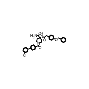 NC(=O)C1(NC(=O)Cc2ccc(OCc3ccccc3)cc2)CCN(C(=O)c2ccc(-c3cccc(Cl)c3)cc2)CC1